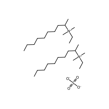 CCCCCCCCC(C)[N+](C)(C)CC.CCCCCCCCC(C)[N+](C)(C)CC.O=S(=O)([O-])[O-]